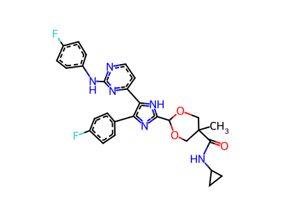 CC1(C(=O)NC2CC2)COC(c2nc(-c3ccc(F)cc3)c(-c3ccnc(Nc4ccc(F)cc4)n3)[nH]2)OC1